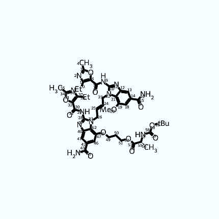 CCc1nc(C)oc1C(=O)Nc1nc2cc(C(N)=O)cc(OC)c2n1C/C=C/Cn1c(NC(=O)c2oc(C)nc2CC)nc2cc(C(N)=O)cc(OCCCOC(=O)[C@@H](C)NC(=O)OC(C)(C)C)c21